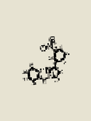 O=[N+]([O-])c1cccc(-c2ccn(Cc3ccccc3)n2)c1